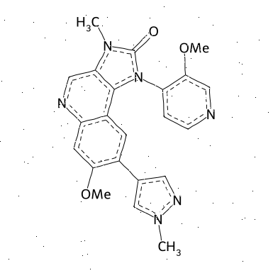 COc1cc2ncc3c(c2cc1-c1cnn(C)c1)n(-c1ccncc1OC)c(=O)n3C